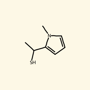 CC(S)c1cccn1C